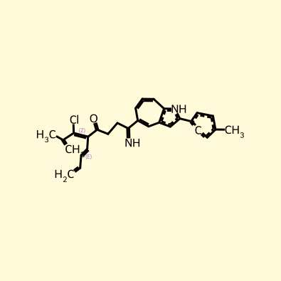 C=C/C=C/C(C(=O)CCC(=N)C1=Cc2cc(-c3ccc(C)cc3)[nH]c2C=C=C1)=C(/Cl)C(=C)C